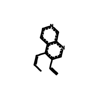 C=Cc1cnc2cnccc2c1/C=C\C